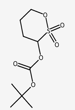 CC(C)(C)OC(=O)OC1CCCOS1(=O)=O